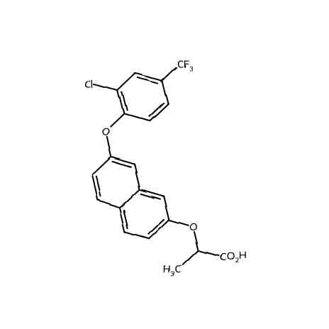 CC(Oc1ccc2ccc(Oc3ccc(C(F)(F)F)cc3Cl)cc2c1)C(=O)O